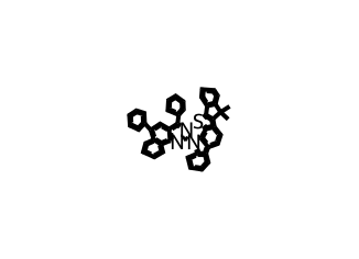 CC1(C)c2ccccc2-c2sc3c(ccc4c5ccccc5n(-c5nc(-c6ccccc6)c6cc(-c7ccccc7)c7ccccc7c6n5)c43)c21